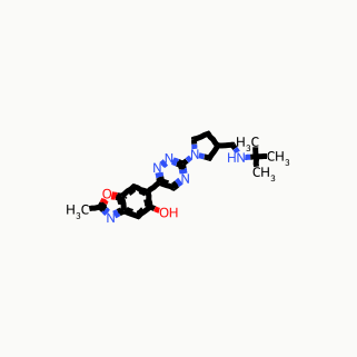 Cc1nc2cc(O)c(-c3cnc(N4CCC(CNC(C)(C)C)C4)nn3)cc2o1